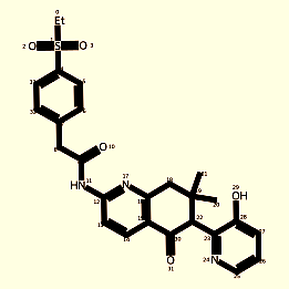 CCS(=O)(=O)c1ccc(CC(=O)Nc2ccc3c(n2)CC(C)(C)C(c2ncccc2O)C3=O)cc1